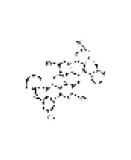 CC(C)c1cc2c3c(cc4c(C(C)C)cc5c6c(cc1c3c46)B1c3ccccc3Oc3cc(C#N)cc-5c31)B1c3ccccc3Oc3cc(C#N)cc-2c31